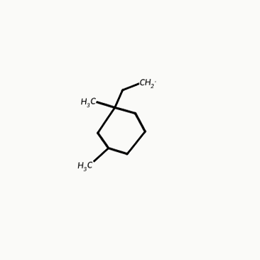 [CH2]CC1(C)CCCC(C)C1